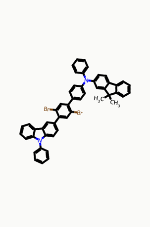 CC1(C)c2ccccc2-c2ccc(N(c3ccccc3)c3ccc(-c4cc(Br)c(-c5ccc6c(c5)c5ccccc5n6-c5ccccc5)cc4Br)cc3)cc21